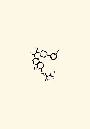 CCC(C(=O)c1ccc2c(c1)CCC(=O)N2)N1CCN(c2cccc(Cl)c2)CC1.O=C(O)C(=O)O